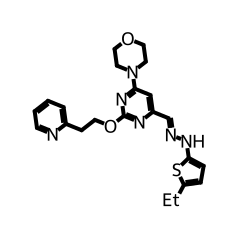 CCc1ccc(N/N=C/c2cc(N3CCOCC3)nc(OCCc3ccccn3)n2)s1